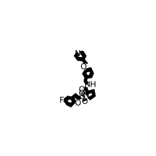 O=C(NCc1cccc(OCc2ccncc2)c1)C1CCCN1S(=O)(=O)c1cc2cc(F)ccc2o1